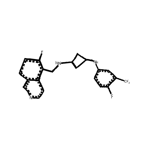 Fc1ccc(NC2CC(NCc3c(F)ccc4cnccc34)C2)cc1C(F)(F)F